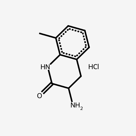 Cc1cccc2c1NC(=O)C(N)C2.Cl